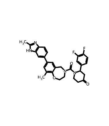 Cc1nc2ccc(-c3cc(C)c4c(c3)CN(C(=O)N3CCC(=O)CC3c3ccc(F)c(F)c3)CCO4)cc2[nH]1